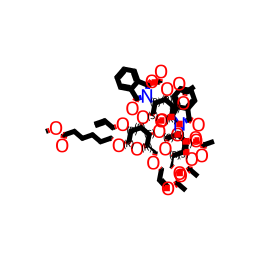 C=CCOC[C@H]1O[C@@H](OCCCCCC(=O)OC)[C@H](OCC=C)[C@@H](O[C@@H]2O[C@H](COC(C)=O)[C@@H](OC(C)=O)[C@H](OC(C)=O)[C@H]2N2C(=O)c3ccccc3C2=O)[C@H]1O[C@@H]1O[C@H](COC(C)=O)[C@@H](OC(C)=O)[C@H](OC(C)=O)[C@H]1N1C(=O)c2ccccc2C1=O